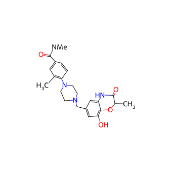 CNC(=O)c1ccc(N2CCN(Cc3cc(O)c4c(c3)NC(=O)C(C)O4)CC2)c(C)c1